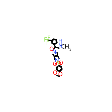 CNCC(C(=O)N1CC2=C(C1)CN(S(=O)(=O)c1ccc3c(c1)OCCO3)C2)c1cccc(C(F)(F)F)c1